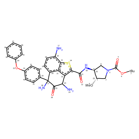 CO[C@H]1CN(C(=O)OC(C)(C)C)C[C@@H]1NC(=O)c1sc2c(N)ccc3c2c1C(N)C(=O)C3(N)c1ccc(Oc2ccccc2)cc1